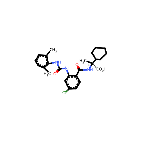 Cc1cccc(C)c1NC(=O)Nc1cc(Cl)ccc1C(=O)N[C@](C)(C(=O)O)C1CCCCC1